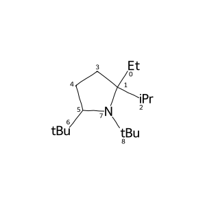 CCC1(C(C)C)CCC(C(C)(C)C)N1C(C)(C)C